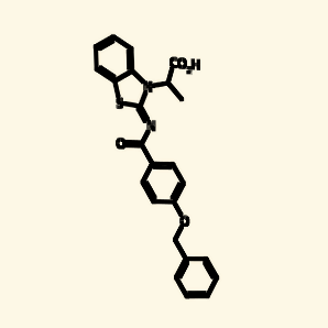 CC(C(=O)O)n1c(=NC(=O)c2ccc(OCc3ccccc3)cc2)sc2ccccc21